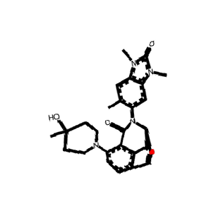 Cc1cc2c(cc1N1C(=O)c3c(N4CCC(C)(O)CC4)ccc4c3C(=O)C1C=C4)n(C)c(=O)n2C